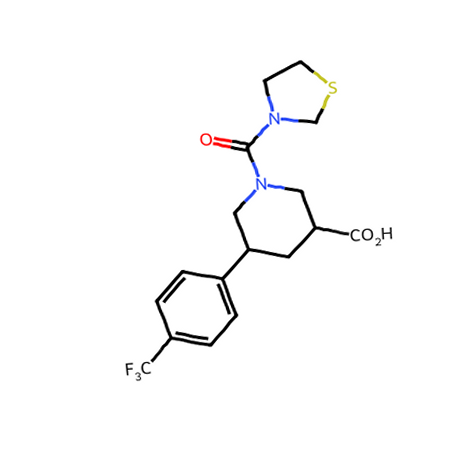 O=C(O)C1CC(c2ccc(C(F)(F)F)cc2)CN(C(=O)N2CCSC2)C1